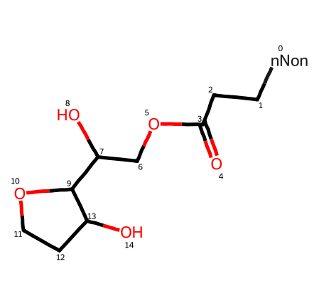 CCCCCCCCCCCC(=O)OCC(O)C1OCCC1O